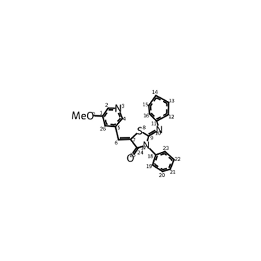 COc1cncc(/C=C2\S/C(=N\c3ccccc3)N(c3ccccc3)C2=O)c1